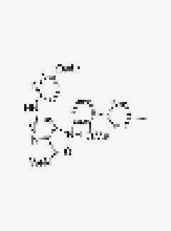 CNC(=O)c1nnc(Nc2ccc(OC)nn2)cc1Nc1cccc(-c2ncc(F)cn2)c1OC